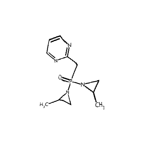 CC1CN1P(=O)(Cc1ncccn1)N1CC1C